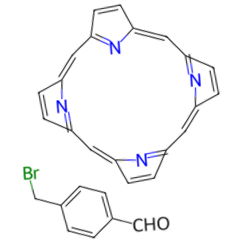 C1=CC2=NC1=CC1=NC(=CC3=NC(=CC4=NC(=C2)C=C4)C=C3)C=C1.O=Cc1ccc(CBr)cc1